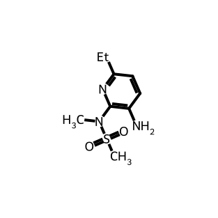 CCc1ccc(N)c(N(C)S(C)(=O)=O)n1